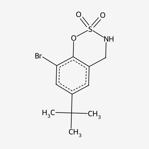 CC(C)(C)c1cc(Br)c2c(c1)CNS(=O)(=O)O2